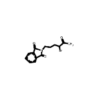 CC(=O)C(Br)CCCN1C(=O)c2ccccc2C1=O